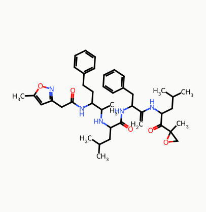 C=C(NC(CC(C)C)C(=O)C1(C)CO1)C(Cc1ccccc1)NC(=O)C(CC(C)C)NC(C)C(CCc1ccccc1)NC(=O)Cc1cc(C)on1